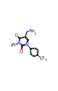 CC(C)n1c(=O)c(CN)cn(-c2ccc(C(F)(F)F)cc2)c1=O